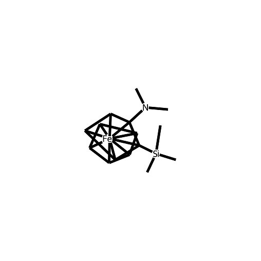 CN(C)[C]12[CH]3[CH]4[CH]5[C]1([Si](C)(C)C)[Fe]43521678[CH]2[CH]1[CH]6[CH]7[CH]28